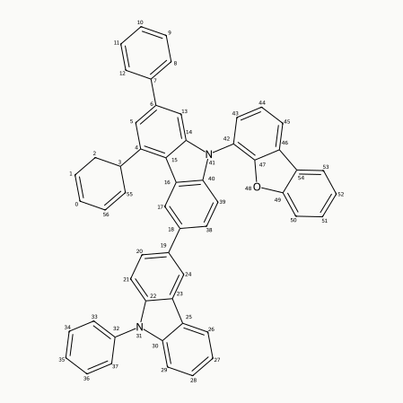 C1=CCC(c2cc(-c3ccccc3)cc3c2c2cc(-c4ccc5c(c4)c4ccccc4n5-c4ccccc4)ccc2n3-c2cccc3c2oc2ccccc23)C=C1